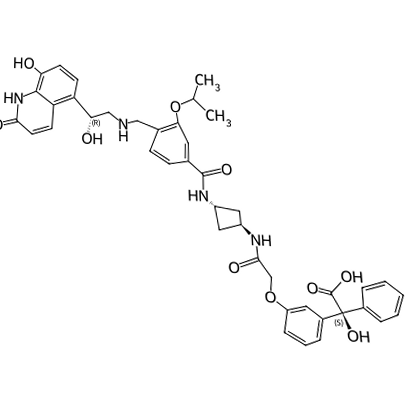 CC(C)Oc1cc(C(=O)N[C@H]2C[C@H](NC(=O)COc3cccc([C@](O)(C(=O)O)c4ccccc4)c3)C2)ccc1CNC[C@H](O)c1ccc(O)c2[nH]c(=O)ccc12